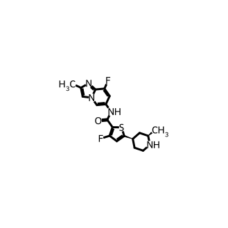 Cc1cn2cc(NC(=O)c3sc([C@@H]4CCN[C@H](C)C4)cc3F)cc(F)c2n1